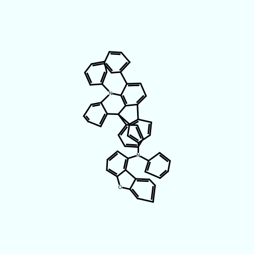 c1ccc(-c2ccc3c4c2N(c2ccccc2)c2ccccc2C4(c2ccccc2)c2cc(N(c4ccccc4)c4cccc5oc6ccccc6c45)ccc2-3)cc1